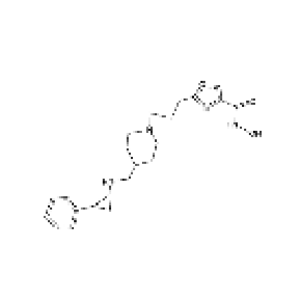 O=C(NO)c1coc(CCCN2CCC(CNC3CC3c3ccccc3)CC2)n1